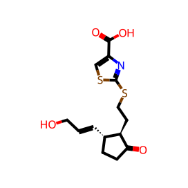 O=C(O)c1csc(SCC[C@H]2C(=O)CC[C@@H]2/C=C/CO)n1